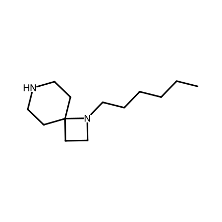 CCCCCCN1CCC12CCNCC2